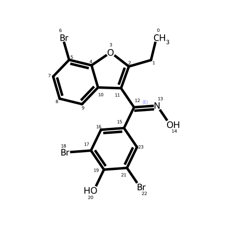 CCc1oc2c(Br)cccc2c1/C(=N/O)c1cc(Br)c(O)c(Br)c1